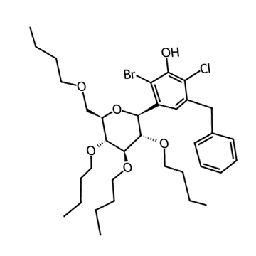 CCCCOC[C@H]1O[C@@H](c2cc(Cc3ccccc3)c(Cl)c(O)c2Br)[C@H](OCCCC)[C@@H](OCCCC)[C@@H]1OCCCC